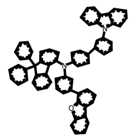 c1ccc(C2(c3ccccc3)c3ccccc3-c3c(N(c4ccc(-c5cccc(-n6c7ccccc7c7ccccc76)c5)cc4)c4cccc(-c5cccc6c5oc5ccccc56)c4)cccc32)cc1